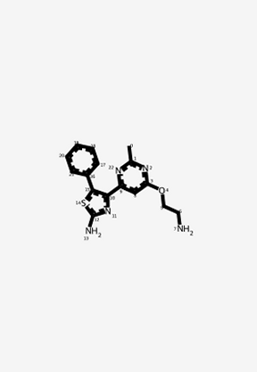 Cc1nc(OCCN)cc(-c2nc(N)sc2-c2ccccc2)n1